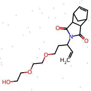 C=CC(CCOCCOCCO)N1C(=O)C2C3C=CC(C3)C2C1=O